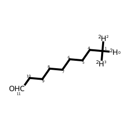 [2H]C([2H])([2H])CCCCCCCC=O